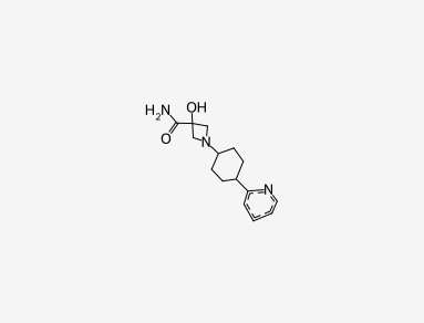 NC(=O)C1(O)CN(C2CCC(c3ccccn3)CC2)C1